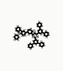 c1ccc(-c2cc(-c3ccccc3)cc(-c3nc(-c4cc(-c5ccccc5)cc(-c5ccccc5)c4)c4oc5ccc(-c6ccc7c(c6)c6ccccc6n7-c6ccccc6)cc5c4n3)c2)cc1